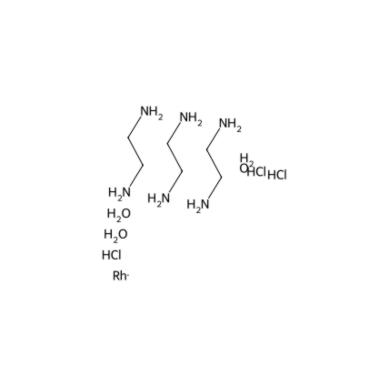 Cl.Cl.Cl.NCCN.NCCN.NCCN.O.O.O.[Rh]